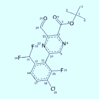 CC(C)(C)OC(=O)c1ncc(-c2c(C(F)F)ccc(Cl)c2F)nc1C=O